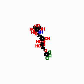 CC(=Cc1ccc(O[C@@H]2O[C@H](C(C)=CCOc3ccc(Cl)c(Cl)c3Cl)[C@@H](O)[C@@H]2O)c(O)c1)C(=O)N[C@@H]1[C@H](O)[C@@H](O)[C@H]2OCO[C@H]2[C@@H]1O